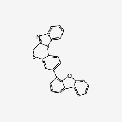 c1ccc2c(c1)nc1n2-c2ccc(-c3cccc4c3oc3ccccc34)cc2SC1